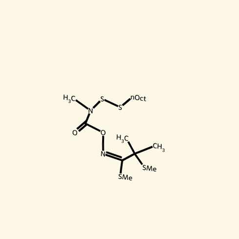 CCCCCCCCSSN(C)C(=O)ON=C(SC)C(C)(C)SC